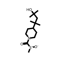 C[S+]([O-])C(=O)N1CCC(C(C)(C)CC(C)(C)O)CC1